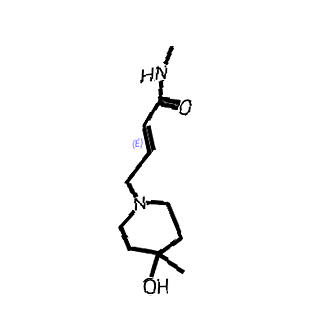 CNC(=O)/C=C/CN1CCC(C)(O)CC1